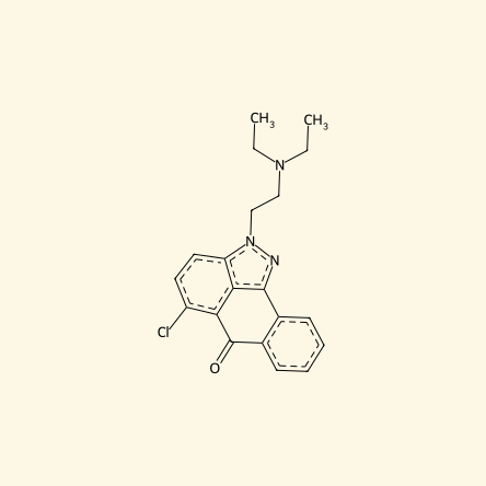 CCN(CC)CCn1nc2c3c(c(Cl)ccc31)C(=O)c1ccccc1-2